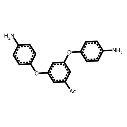 CC(=O)c1cc(Oc2ccc(N)cc2)cc(Oc2ccc(N)cc2)c1